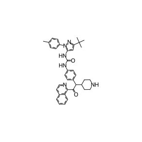 Cc1ccc(-n2nc(C(C)(C)C)cc2NC(=O)Nc2ccc(C(C(=O)c3nccc4ccccc34)C3CCNCC3)cc2)cc1